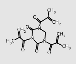 C=C(C)C(=O)N1CN(C(=O)C(=C)C)C(=O)N(C(=O)C(=C)C)C1=O